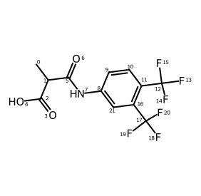 CC(C(=O)O)C(=O)Nc1ccc(C(F)(F)F)c(C(F)(F)F)c1